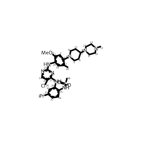 COc1cc(N2CCC(N3CCN(C)CC3)CC2)c(C)cc1Nc1ncc(Cl)c(Nc2cc(C(C)C)ccc2NS(C)(=O)=O)n1